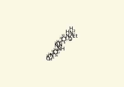 CCC(N)C(=O)Nc1ccc(-c2ccnc(Nc3ccc(N4CCOCC4)cc3)n2)cc1